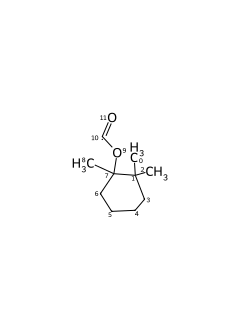 CC1(C)CCCCC1(C)O[C]=O